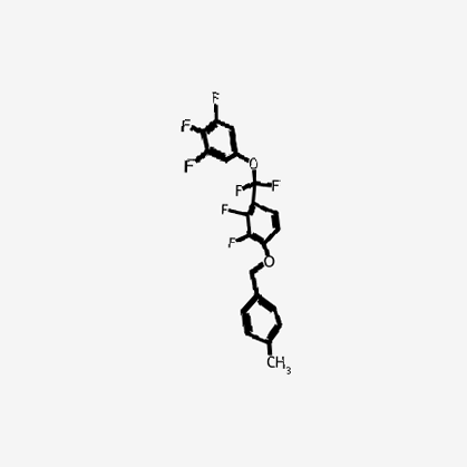 Cc1ccc(COc2ccc(C(F)(F)Oc3cc(F)c(F)c(F)c3)c(F)c2F)cc1